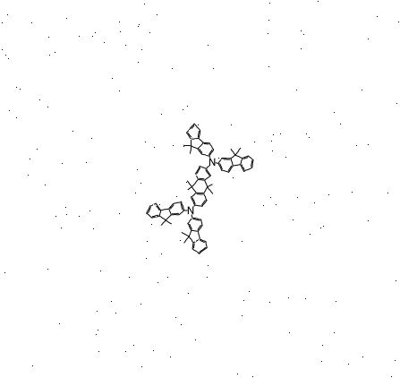 CC1(C)c2ccccc2-c2ccc(N(c3ccc4c(c3)C(C)(C)c3ccccc3-4)c3ccc4c(c3)C(C)(C)c3ccc(N(c5ccc6c(c5)C(C)(C)c5ccccc5-6)c5ccc6c(c5)C(C)(C)c5ccccc5-6)cc3C4(C)C)cc21